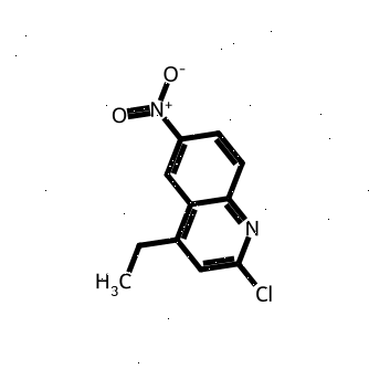 CCc1cc(Cl)nc2ccc([N+](=O)[O-])cc12